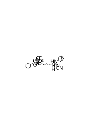 N#C/N=C(\NCCCCCCN(OCC1CCCCC1)S(=O)(=O)C(F)(F)F)Nc1ccncc1